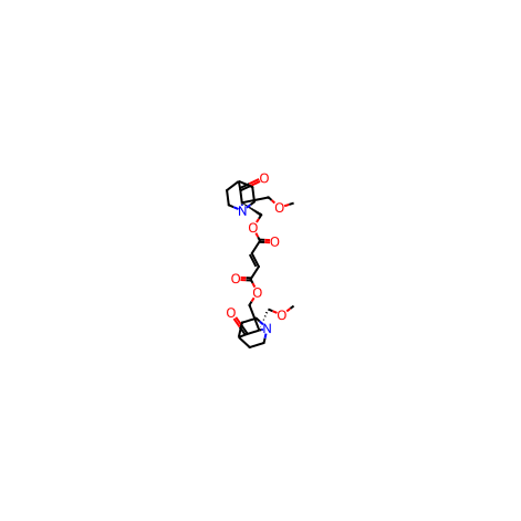 COC[C@@]1(COC(=O)/C=C/C(=O)OC[C@]2(COC)C(=O)C3CCN2CC3)C(=O)C2CCN1CC2